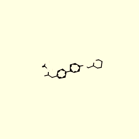 CC(=O)NC(C)Cc1ccc(-c2ccc(OCC3CCCCO3)cc2)cc1